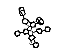 c1ccc(-c2ccc(N3B4c5c(cc(-c6ccccc6)cc5-n5c6ccc(C78CC9CC(CC(C9)C7)C8)cc6c6cc(C78CC9CC(CC(C9)C7)C8)cc4c65)-c4cc5oc6ccccc6c5cc43)cc2)cc1